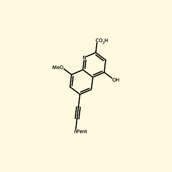 CCCCCC#Cc1cc(OC)c2nc(C(=O)O)cc(O)c2c1